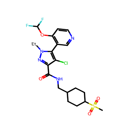 CCn1nc(C(=O)NCC2CCC(S(C)(=O)=O)CC2)c(Cl)c1-c1cnccc1OC(F)F